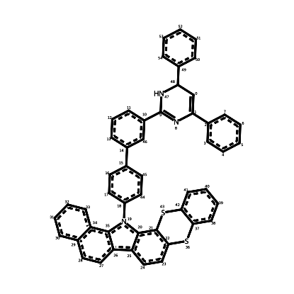 C1=C(c2ccccc2)N=C(c2cccc(-c3ccc(-n4c5c6c(ccc5c5ccc7ccccc7c54)Sc4ccccc4S6)cc3)c2)NC1c1ccccc1